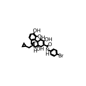 O=C(Nc1ccc(Br)cc1)C1=C(O)[C@@H]2Oc3c(O)ccc4c3[C@@]23CCN(CC2CC2)[C@H](C4)[C@]3(O)C1